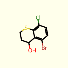 OC1CCSc2c(Cl)ccc(Br)c21